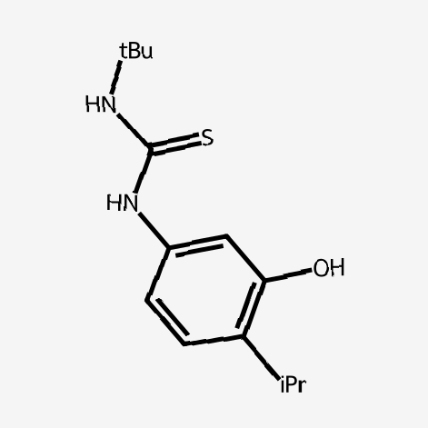 CC(C)c1ccc(NC(=S)NC(C)(C)C)cc1O